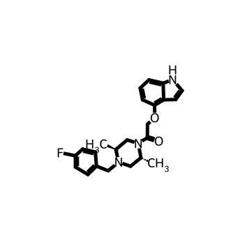 C[C@@H]1CN(Cc2ccc(F)cc2)[C@@H](C)CN1C(=O)COc1cccc2[nH]ccc12